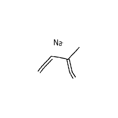 C=CC(=C)C.[Na]